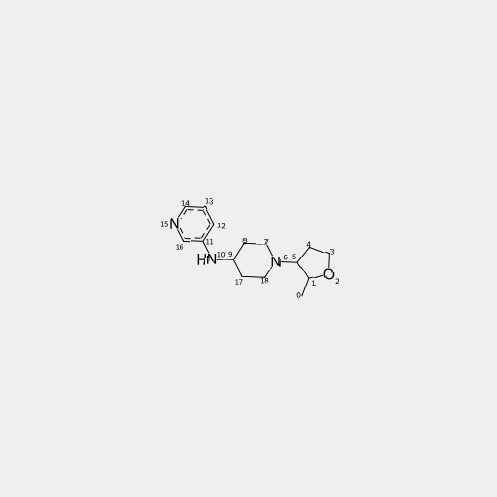 CC1OCCC1N1CCC(Nc2cccnc2)CC1